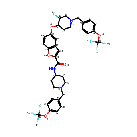 O=C(NC1CCN(Cc2ccc(OC(F)(F)F)cc2)CC1)c1cc2cc(OC3CCN(Cc4ccc(OC(F)(F)F)cc4)CC3F)ccc2o1